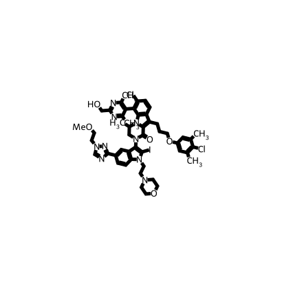 COCCn1cnc(-c2ccc3c(c2)c(N2CC(C)n4c(c(CCCOc5cc(C)c(Cl)c(C)c5)c5ccc(Cl)c(-c6c(C)nc(CO)nc6C)c54)C2=O)c(I)n3CCN2CCOCC2)n1